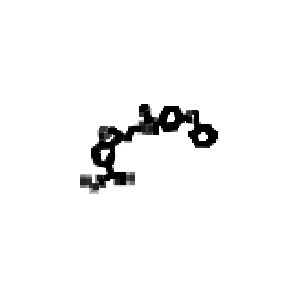 N=C(N)c1ccc2c(c1)C(CCNC(=O)c1ccc(Oc3ccccc3)cc1)CO2